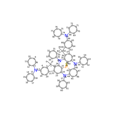 CC1(C)c2cc(N(c3ccccc3)c3ccccc3)ccc2-c2cc3c4c(c21)N(c1ccccc1)c1c2c(cc5c1P4(=S)c1c(cccc1N5c1ccccc1)N3c1ccccc1)-c1ccc(N(c3ccccc3)c3ccccc3)cc1C2(C)C